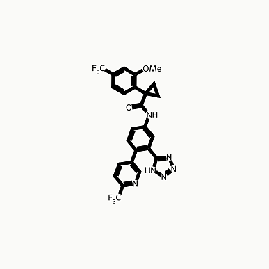 COc1cc(C(F)(F)F)ccc1C1(C(=O)Nc2ccc(-c3ccc(C(F)(F)F)nc3)c(-c3nnn[nH]3)c2)CC1